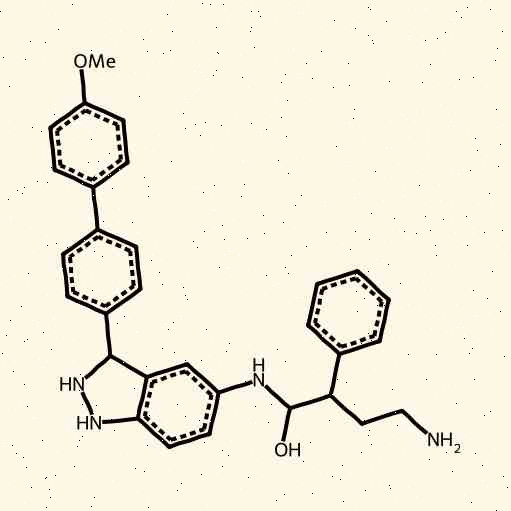 COc1ccc(-c2ccc(C3NNc4ccc(NC(O)C(CCN)c5ccccc5)cc43)cc2)cc1